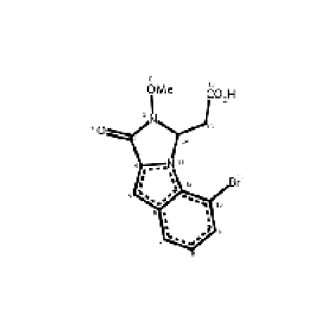 CON1C(=O)c2cc3cccc(Br)c3n2C1CC(=O)O